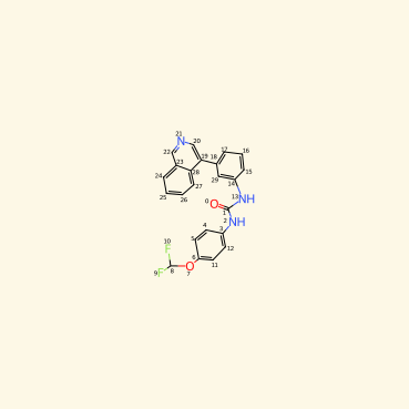 O=C(Nc1ccc(OC(F)F)cc1)Nc1cccc(-c2cncc3ccccc23)c1